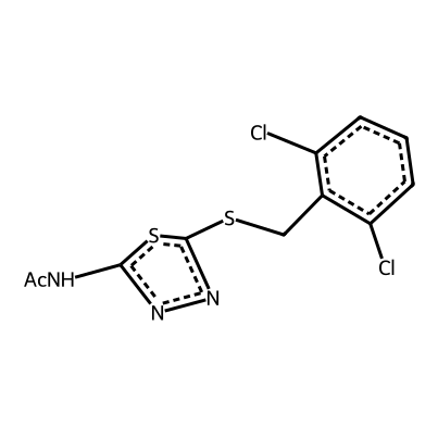 CC(=O)Nc1nnc(SCc2c(Cl)cccc2Cl)s1